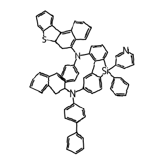 C1=CC(N(c2ccc(-c3ccccc3)cc2)c2ccc3c(c2)-c2c(N(C4=c5ccccc5=C5c6ccccc6SC5C4)c4ccccc4)cccc2[Si]3(c2ccccc2)c2cccnc2)Cc2ccccc21